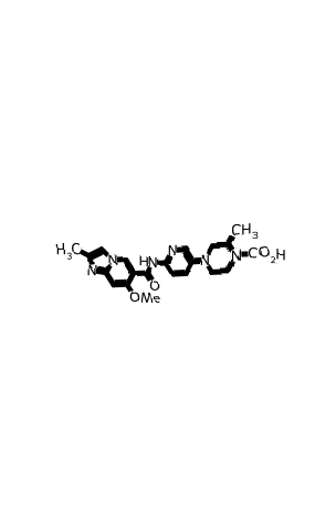 COc1cc2nc(C)cn2cc1C(=O)Nc1ccc(N2CCN(C(=O)O)C(C)C2)cn1